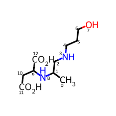 CC(CNCCCO)NC(CC(=O)O)C(=O)O